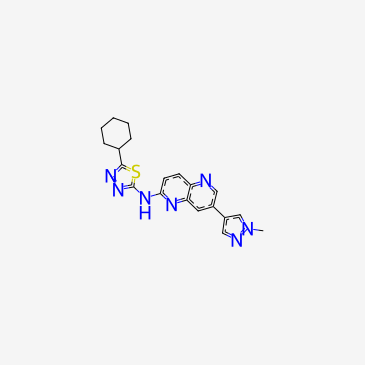 Cn1cc(-c2cnc3ccc(Nc4nnc(C5CCCCC5)s4)nc3c2)cn1